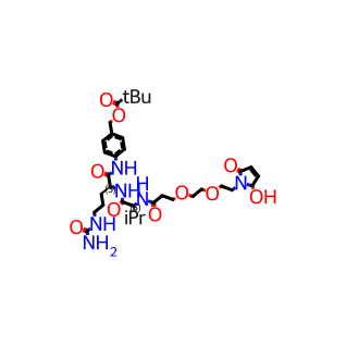 CC(C)[C@H](NC(=O)CCOCCOCCN1C(=O)C=CC1O)C(=O)N[C@@H](CCCNC(N)=O)C(=O)Nc1ccc(COC(=O)C(C)(C)C)cc1